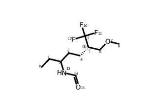 CCC(CC[C@@H](COC)C(F)(F)F)NC=O